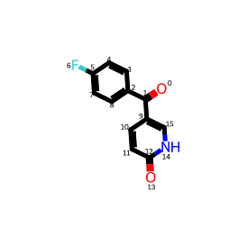 O=C(c1ccc(F)cc1)c1ccc(=O)[nH]c1